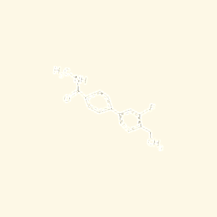 CCc1ccc(-c2ccc(C(=O)NC)cc2)cc1F